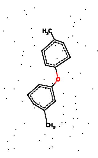 Cc1ccc(Oc2cccc(C)c2)cc1